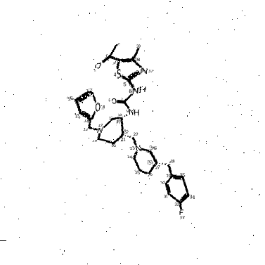 CC(=O)c1sc(NC(=O)N[C@H]2CN(Cc3ccco3)CC[C@H]2CN2CCC[C@@H](Cc3ccc(F)cc3)C2)nc1C